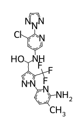 Cc1ccc(-n2ncc(C(O)Nc3cnc(-n4nccn4)c(Cl)c3)c2C(F)(F)F)nc1N